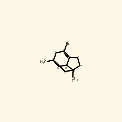 CC12CC(Br)=C3CCC(C)(C1)C3C2